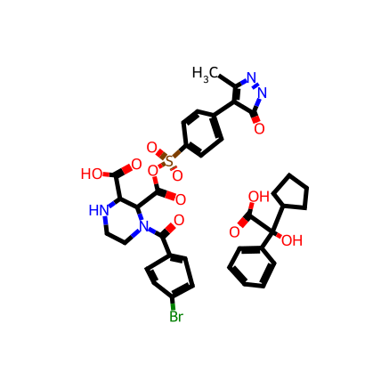 CC1=C(c2ccc(S(=O)(=O)OC(=O)C3C(C(=O)O)NCCN3C(=O)c3ccc(Br)cc3)cc2)C(=O)N=N1.O=C(O)C(O)(c1ccccc1)C1CCCC1